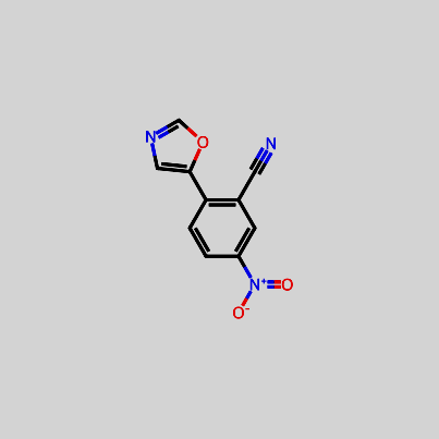 N#Cc1cc([N+](=O)[O-])ccc1-c1cnco1